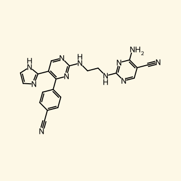 N#Cc1ccc(-c2nc(NCCNc3ncc(C#N)c(N)n3)ncc2-c2ncc[nH]2)cc1